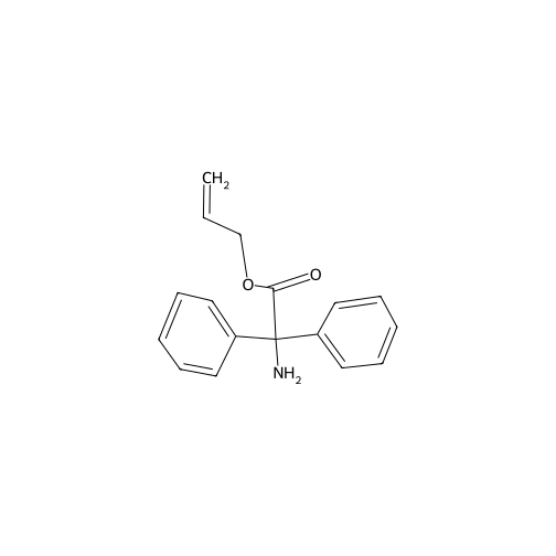 C=CCOC(=O)C(N)(c1ccccc1)c1ccccc1